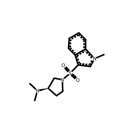 CN(C)[C@@H]1CCN(S(=O)(=O)c2cn(C)c3ccccc23)C1